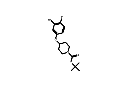 CC(C)(C)OC(=O)N1CCC(Oc2ccc(Cl)c(Br)c2)CC1